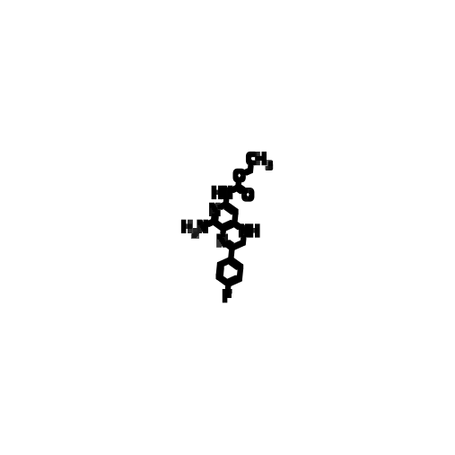 CCOC(=O)Nc1cc2c(c(N)n1)N=C(c1ccc(F)cc1)CN2